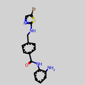 Nc1ccccc1NC(=O)c1ccc(CNc2ncc(Br)s2)cc1